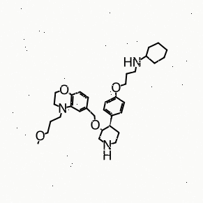 COCCCN1CCOc2ccc(CO[C@H]3CNCC[C@@H]3c3ccc(OCCCNC4CCCCC4)cc3)cc21